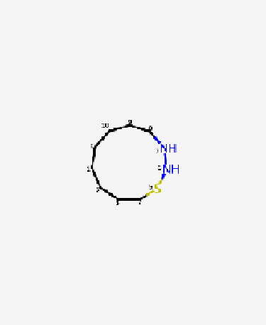 C1CCCCSNNCCC1